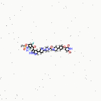 CC(C)S(=O)(=O)Nc1ccc(F)c(C(=O)c2c[nH]c3ncc(-c4ccc(N5CCN(C(=O)CN6CCC(c7ccc(OC8CCC(=O)NC8=O)cc7)CC6)CC5)nc4)cc23)c1F